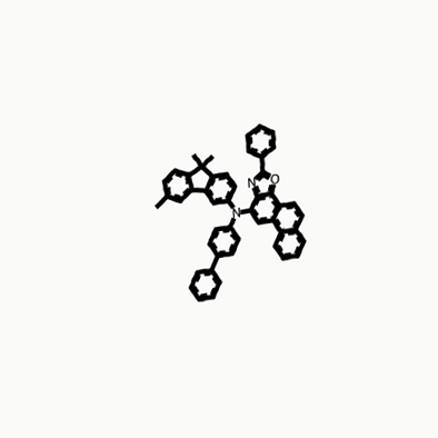 Cc1ccc2c(c1)-c1cc(N(c3ccc(-c4ccccc4)cc3)c3cc4c5ccccc5ccc4c4oc(-c5ccccc5)nc34)ccc1C2(C)C